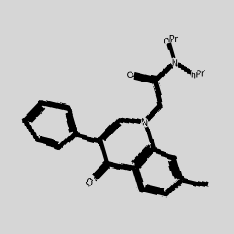 CCCN(CCC)C(=O)Cn1cc(-c2ccccc2)c(=O)c2ccc(C)cc21